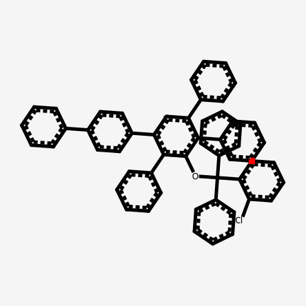 Clc1ccccc1C(Oc1c(-c2ccccc2)c(-c2ccccc2)[c]c(-c2ccc(-c3ccccc3)cc2)c1-c1ccccc1)(c1ccccc1)c1ccccc1